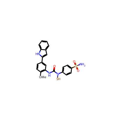 COc1ccc(-c2cc3ccccc3[nH]2)cc1NC(=O)N(S)c1ccc(S(N)(=O)=O)cc1